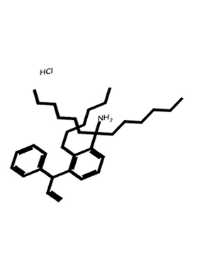 C=CC(c1ccccc1)c1cccc(C(N)(CCCCCC)CCCCCC)c1CCCCCC.Cl